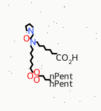 CCCCCC(CCCCC)CCC(=O)OC(=O)CCCCCCCN(CCCCCCCC(=O)O)C(=O)CN1CCCC1